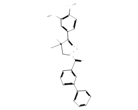 COc1ccc(C2=NN(C(=O)c3cccc(-c4ccccc4)c3)CC2(C)C)cc1OC